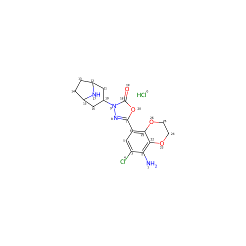 Cl.Nc1c(Cl)cc(-c2nn(C3CC4CCC(C3)N4)c(=O)o2)c2c1OCCO2